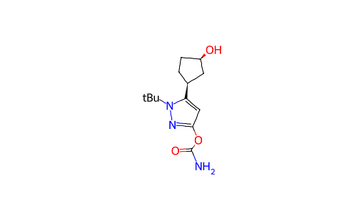 CC(C)(C)n1nc(OC(N)=O)cc1[C@H]1CC[C@@H](O)C1